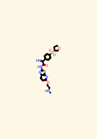 CNCCOc1ccc2nc(NC(=O)C(=N)c3ccc(S(=O)(=O)[C@H]4CCOC4)cc3)sc2n1